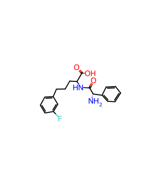 N[C@H](C(=O)NC(CCCc1cccc(F)c1)C(=O)O)c1ccccc1